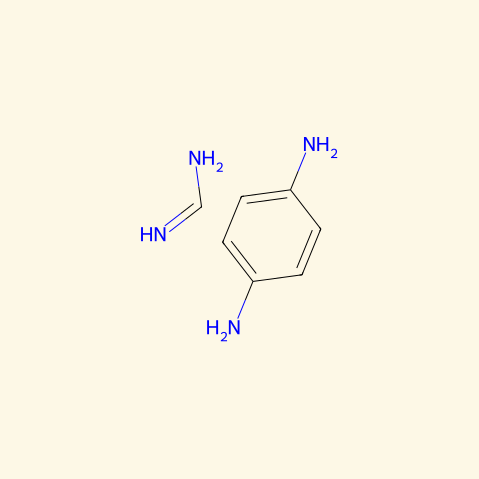 N=CN.Nc1ccc(N)cc1